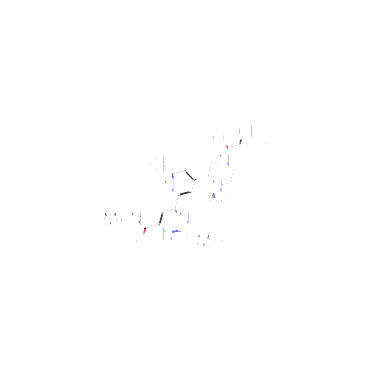 C=CC(=O)N1CCN(C(C)=O)[C@@H](c2cc(Cl)nc(-c3cc(C(=O)NC)nc(SC)n3)c2)C1